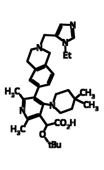 CCn1cncc1CN1CCc2cc(-c3c(C)nc(C)c(C(OC(C)(C)C)C(=O)O)c3N3CCC(C)(C)CC3)ccc2C1